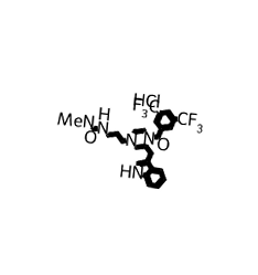 CNC(=O)NCCCN1CCN(C(=O)c2cc(C(F)(F)F)cc(C(F)(F)F)c2)C(Cc2c[nH]c3ccccc23)C1.Cl